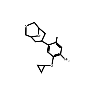 Cc1cc(N)c(OC2CC2)cc1C1CC2CSCC(C1)N2